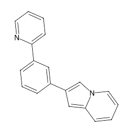 c1ccc(-c2cccc(-c3cc4ccccn4c3)c2)nc1